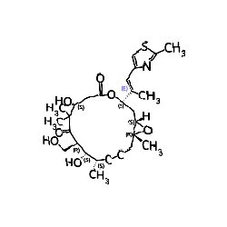 C/C(=C\c1csc(C)n1)[C@@H]1C[C@@H]2O[C@]2(C)CCC[C@H](C)[C@H](O)[C@@H](CO)C(=O)C(C)(C)[C@@H](O)CC(=O)O1